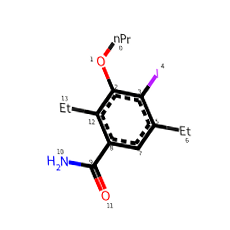 CCCOc1c(I)c(CC)cc(C(N)=O)c1CC